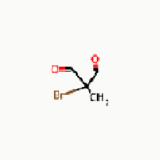 CC(Br)(C=O)C=O